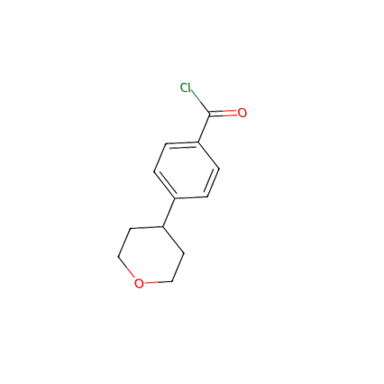 O=C(Cl)c1ccc(C2CCOCC2)cc1